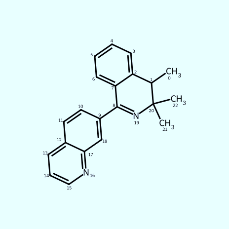 CC1c2ccccc2C(c2ccc3cccnc3c2)=NC1(C)C